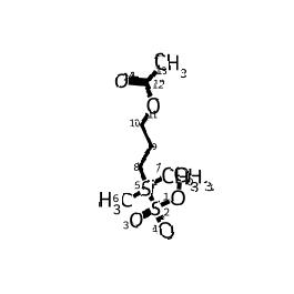 COS(=O)(=O)[Si](C)(C)CCCOC(C)=O